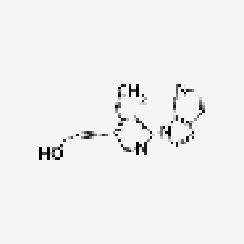 C=Cc1cc(-n2ccc3ccncc32)ncc1C#CCO